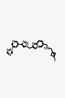 FC12CC(CNCc3ccc4nc(Cn5cc(-c6cncc(-n7cncn7)c6)nn5)cn4c3)(C1)C2